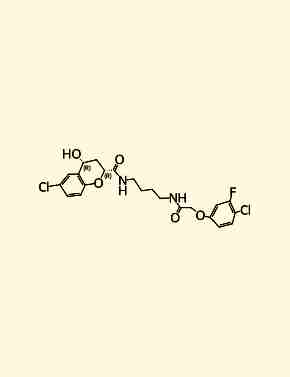 O=C(COc1ccc(Cl)c(F)c1)NCCCCNC(=O)[C@H]1C[C@@H](O)c2cc(Cl)ccc2O1